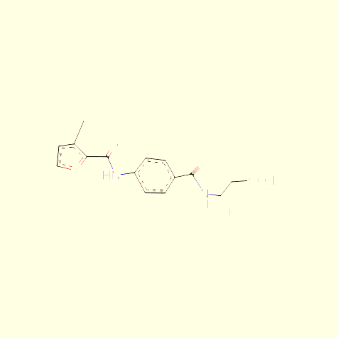 CC[C@@H](CC(=O)O)NC(=O)c1ccc(NC(=O)c2occc2C)cc1